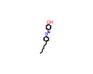 CCCCCCc1ccc(N=Nc2ccc(O)cc2)cc1